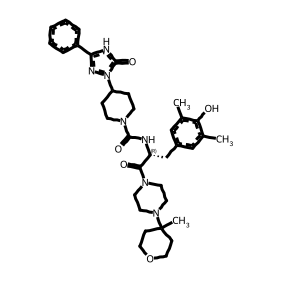 Cc1cc(C[C@@H](NC(=O)N2CCC(n3nc(-c4ccccc4)[nH]c3=O)CC2)C(=O)N2CCN(C3(C)CCOCC3)CC2)cc(C)c1O